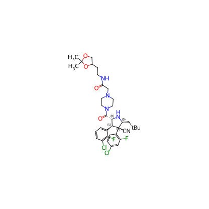 CC(C)(C)C[C@@H]1N[C@@H](C(=O)N2CCN(CC(=O)NCCC3COC(C)(C)O3)CC2)[C@H](c2cccc(Cl)c2F)[C@@]1(C#N)c1ccc(Cl)cc1F